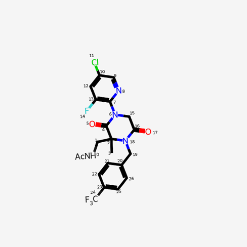 CC(=O)NCC1(C)C(=O)N(c2ncc(Cl)cc2F)CC(=O)N1Cc1ccc(C(F)(F)F)cc1